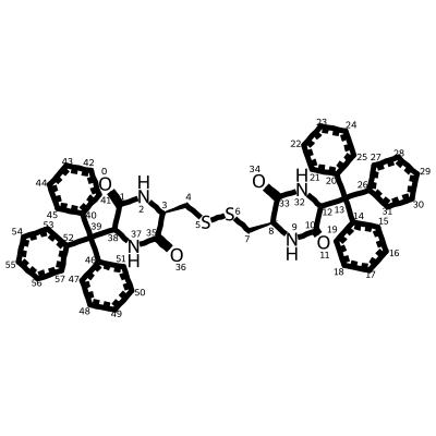 O=C1N[C@@H](CSSC[C@@H]2NC(=O)C(C(c3ccccc3)(c3ccccc3)c3ccccc3)NC2=O)C(=O)NC1C(c1ccccc1)(c1ccccc1)c1ccccc1